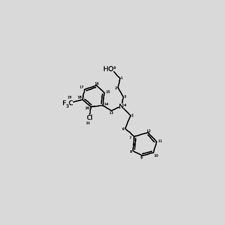 OCCCN(CCc1ccccc1)Cc1cccc(C(F)(F)F)c1Cl